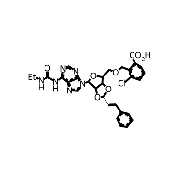 CCNC(=O)Nc1ncnc2c1ncn2C1OC(COCc2c(Cl)cccc2C(=O)O)C2O[C@H](/C=C/c3ccccc3)OC21